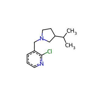 CC(C)C1CCN(Cc2cccnc2Cl)C1